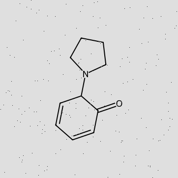 O=C1C=CC=CC1N1CCCC1